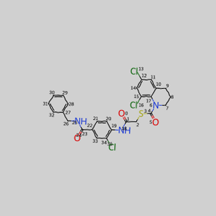 O=C(CSC(=O)N1CCCc2cc(Cl)cc(Cl)c21)Nc1ccc(C(=O)NCc2ccccc2)cc1Cl